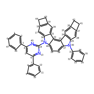 c1ccc(-c2cc(-c3ccccc3)nc(-n3c4cc5c(cc4c4c6c7cc8c(cc7n(-c7ccccc7)c6ccc43)CC8)CC5)n2)cc1